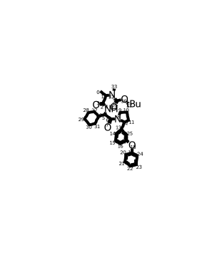 CC(C(=O)NC(C(=O)N1CCCC1c1cccc(Oc2ccccc2)c1)C1CCCCC1)N(C)C(=O)OC(C)(C)C